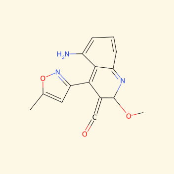 COC1N=c2cccc(N)c2=C(c2cc(C)on2)C1=C=O